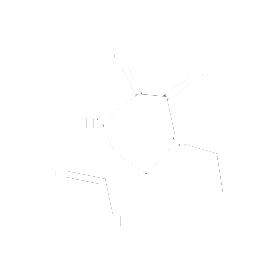 CCN1CCNC(=O)C1=O.O=CCl